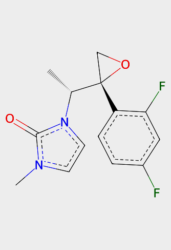 C[C@@H](n1ccn(C)c1=O)[C@]1(c2ccc(F)cc2F)CO1